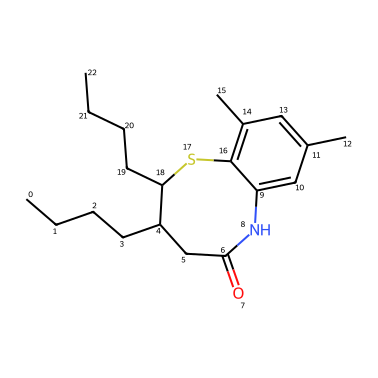 CCCCC1CC(=O)Nc2cc(C)cc(C)c2SC1CCCC